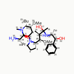 CC[C@H](C)[C@@H]([C@@H](CC(=O)N1CCC[C@H]1[C@H](OC)[C@@H](C)C(C)(O)N[C@H](C)[C@@H](O)c1ccccc1)OC)N(C)C(=O)[C@@H](N)C(C)C